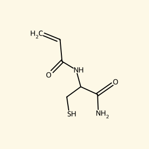 C=CC(=O)NC(CS)C(N)=O